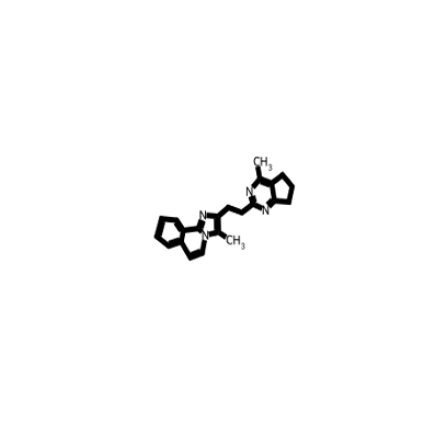 Cc1nc(CCc2nc3c4ccccc4ccn3c2C)nc2c1CCC2